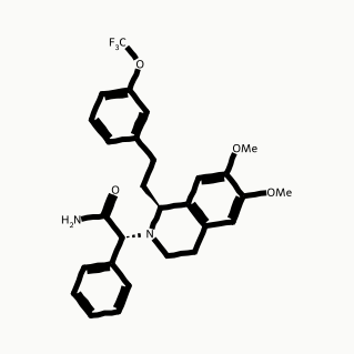 COc1cc2c(cc1OC)[C@H](CCc1cccc(OC(F)(F)F)c1)N([C@@H](C(N)=O)c1ccccc1)CC2